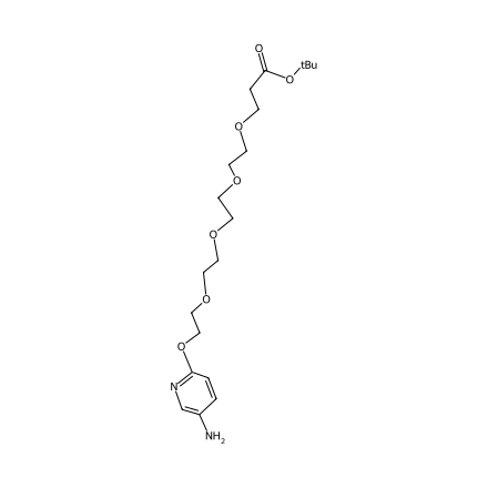 CC(C)(C)OC(=O)CCOCCOCCOCCOCCOc1ccc(N)cn1